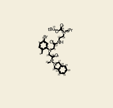 Cc1ccc(Br)cc1N(CC(=O)NCCN(C(=O)OC(C)(C)C)C(C)C)CC(=O)N(C)N1Cc2ccccc2C1